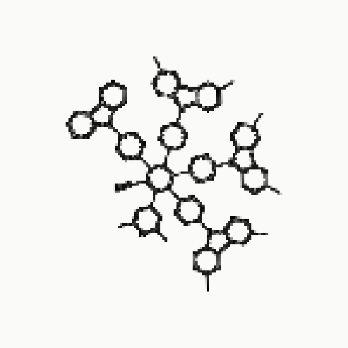 Cc1ccc2c(c1)c1cc(C)ccc1n2-c1ccc(-c2c(-c3ccc(-n4c5ccccc5c5ccccc54)cc3)c(C#N)c(-c3cc(C)nc(C)c3)c(-c3ccc(-n4c5ccc(C)cc5c5cc(C)ccc54)cc3)c2-c2ccc(-n3c4ccc(C)cc4c4cc(C)ccc43)cc2)cc1